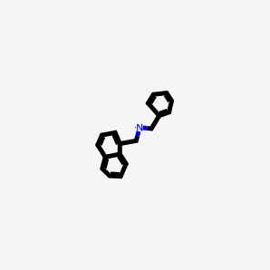 c1ccc(C[N]Cc2cccc3ccccc23)cc1